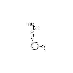 COc1cccc(/C=C/OBO)c1